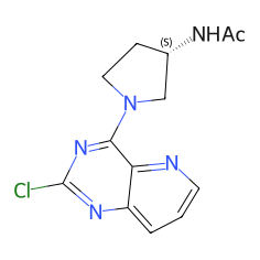 CC(=O)N[C@H]1CCN(c2nc(Cl)nc3cccnc23)C1